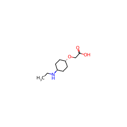 CCN[C@H]1CC[C@H](OCC(=O)O)CC1